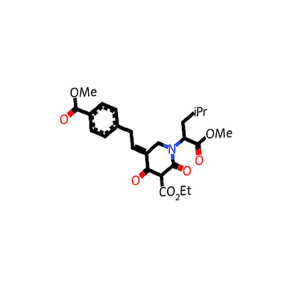 CCOC(=O)C1C(=O)/C(=C/Cc2ccc(C(=O)OC)cc2)CN(C(CC(C)C)C(=O)OC)C1=O